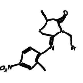 Cc1cc([N+](=O)[O-])ccc1/N=C1\SC(C)C(=O)N1CC(C)C